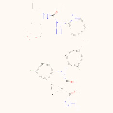 CN(C(=O)Nc1cc(Oc2ccc(N(C(=O)C3(C(N)=O)CC3)c3ccc(F)cc3)c(F)c2)ccn1)C1CCOCC1